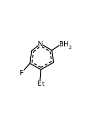 Bc1cc(CC)c(F)cn1